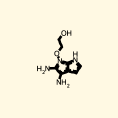 Nc1c(N)n(OCCO)c2[nH]ccc12